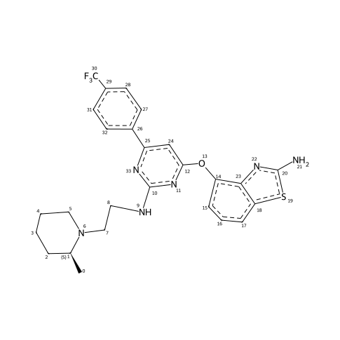 C[C@H]1CCCCN1CCNc1nc(Oc2cccc3sc(N)nc23)cc(-c2ccc(C(F)(F)F)cc2)n1